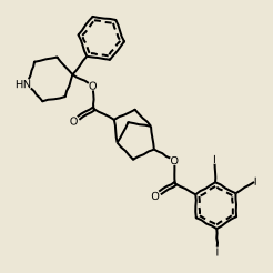 O=C(OC1CC2CC1CC2C(=O)OC1(c2ccccc2)CCNCC1)c1cc(I)cc(I)c1I